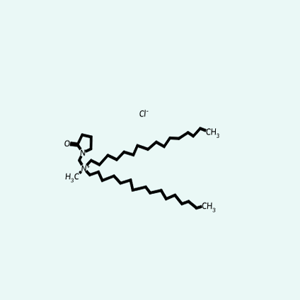 CCCCCCCCCCCCCCCC[N+](C)(CCCCCCCCCCCCCCCC)CN1CCCC1=O.[Cl-]